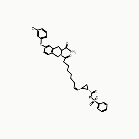 NC(=O)C1Cc2cc(Oc3cccc(Cl)c3)ccc2CN1C(=O)CCCCCC/C=C\[C@@H]1C[C@@H]1C(=O)NS(=O)(=O)c1ccccc1